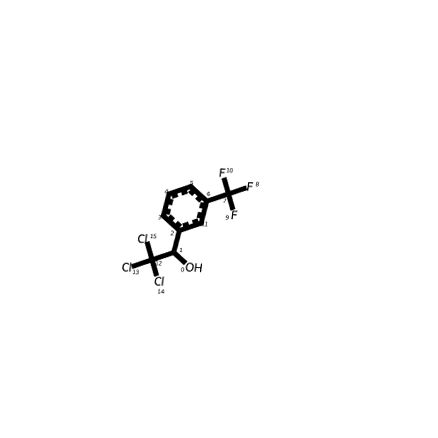 OC(c1cccc(C(F)(F)F)c1)C(Cl)(Cl)Cl